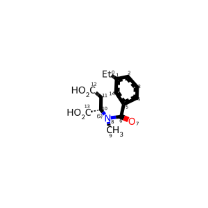 CCc1cccc(C(=O)N(C)[C@@H](CC(=O)O)C(=O)O)c1